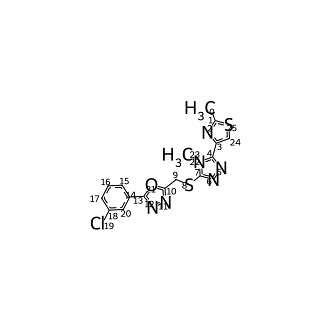 Cc1nc(-c2nnc(SCc3nnc(-c4cccc(Cl)c4)o3)n2C)cs1